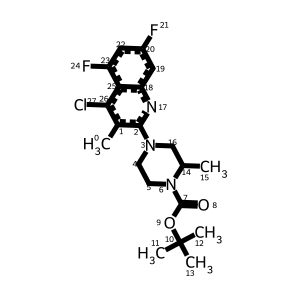 Cc1c(N2CCN(C(=O)OC(C)(C)C)C(C)C2)nc2cc(F)cc(F)c2c1Cl